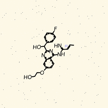 C/C=C/C(=N)Nc1nc(C(O)c2ccc(F)cc2)nc2cc(OCCO)ccc12